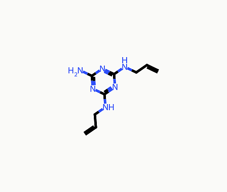 C=CCNc1nc(N)nc(NCC=C)n1